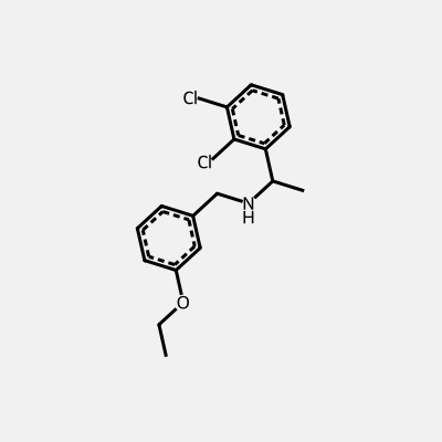 CCOc1cccc(CNC(C)c2cccc(Cl)c2Cl)c1